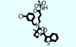 C[C@]1(C(=O)N(CCCC(=O)NS(C)(=O)=O)Cc2cccc(Cl)c2)CCN1C(=O)c1csc2ccccc12